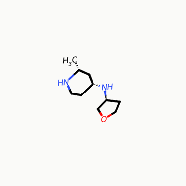 C[C@@H]1C[C@H](N[C@H]2CCOC2)CCN1